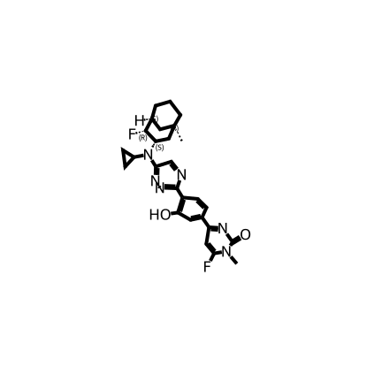 Cn1c(F)cc(-c2ccc(-c3ncc(N(C4CC4)[C@H]4C[C@]5(C)CCC[C@@H](C5)[C@H]4F)nn3)c(O)c2)nc1=O